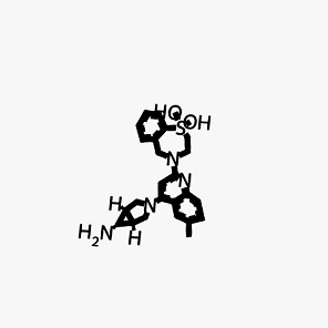 Cc1ccc2nc(N3CCS(O)(O)c4ccccc4C3)cc(N3C[C@@H]4[C@@H](N)[C@@H]4C3)c2c1